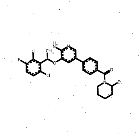 CCC1CCCCN1C(=O)c1ccc(-c2cnc(N)c(OC(C)c3c(Cl)ccc(F)c3Cl)c2)cc1